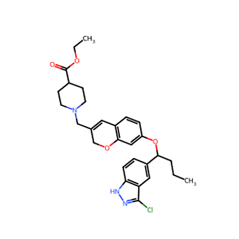 CCCC(Oc1ccc2c(c1)OCC(CN1CCC(C(=O)OCC)CC1)=C2)c1ccc2[nH]nc(Cl)c2c1